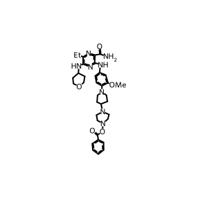 CCc1nc(C(N)=O)c(Nc2ccc(N3CCC(N4CCN(OC(=O)c5ccccc5)CC4)CC3)c(OC)c2)nc1NC1CCOCC1